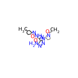 C=CC(=O)N1CCC[C@@H](n2nc(C(=O)Nc3nc4cc(C)ccc4o3)c3c(N)ncnc32)C1